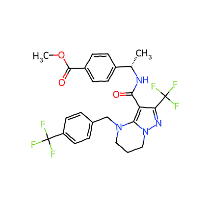 COC(=O)c1ccc([C@H](C)NC(=O)c2c(C(F)(F)F)nn3c2N(Cc2ccc(C(F)(F)F)cc2)CCC3)cc1